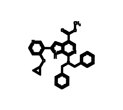 COC(=O)c1cnc(N(Cc2ccccc2)Cc2ccccc2)c2[nH]c(-c3cnccc3OC3CC3)cc12